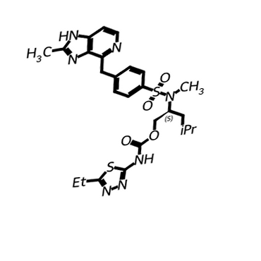 CCc1nnc(NC(=O)OC[C@H](CC(C)C)N(C)S(=O)(=O)c2ccc(Cc3nccc4[nH]c(C)nc34)cc2)s1